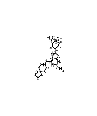 Cc1nc(CN2CCC3(CCCO3)CC2)c2nc(C3CCC(C)(C)CC3)sc2n1